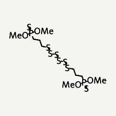 COP(=S)(CCCSSSSSSCCCP(=S)(OC)OC)OC